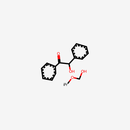 CC(C)OCO.O=C(c1ccccc1)C(O)c1ccccc1